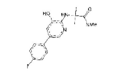 CNC(=O)C(C)(C)Nc1ncc(-c2ccc(F)cc2)cc1O